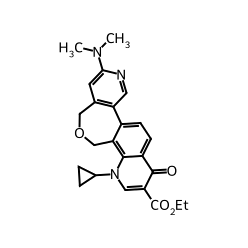 CCOC(=O)c1cn(C2CC2)c2c3c(ccc2c1=O)-c1cnc(N(C)C)cc1COC3